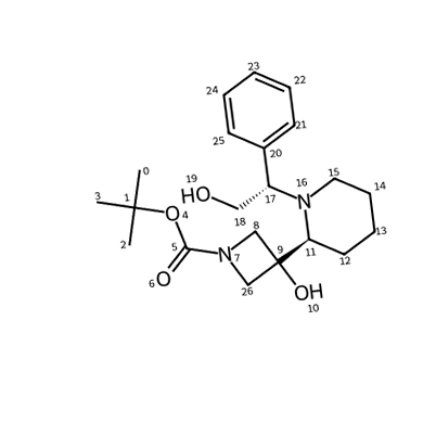 CC(C)(C)OC(=O)N1CC(O)([C@@H]2CCCCN2[C@H](CO)c2ccccc2)C1